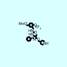 COCc1ccc(OC(F)(F)F)c(CNC(=O)Nc2c(C)c(OCC3CCNCC3)nn2-c2ccccc2)c1